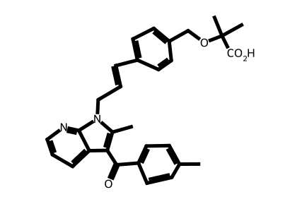 Cc1ccc(C(=O)c2c(C)n(C/C=C/c3ccc(COC(C)(C)C(=O)O)cc3)c3ncccc23)cc1